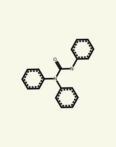 O=C([N]c1ccccc1)N(c1ccccc1)c1ccccc1